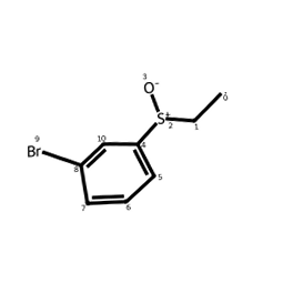 [CH2]C[S+]([O-])c1cccc(Br)c1